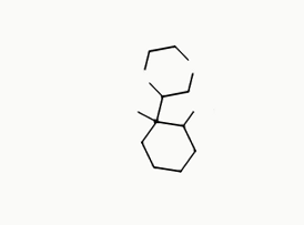 CC1CCCCC1(C)C1COCCO1